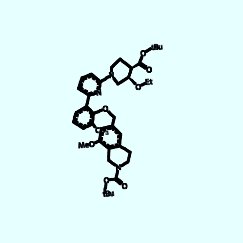 CCO[C@H]1CN(c2cccc(-c3cccc(C)c3OCc3cc4c(c(OC)c3)CN(C(=O)OC(C)(C)C)CC4)n2)CC[C@H]1C(=O)OC(C)(C)C